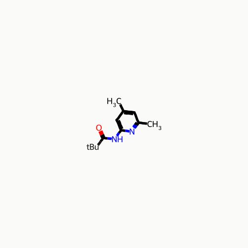 Cc1cc(C)nc(NC(=O)C(C)(C)C)c1